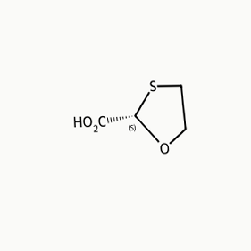 O=C(O)[C@H]1OCCS1